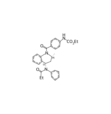 CCOC(=O)Nc1ccc(C(=O)N2c3ccccc3[C@@H](N(C(=O)CC)c3ccccc3)C[C@H]2C)cc1